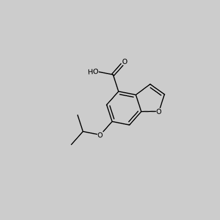 CC(C)Oc1cc(C(=O)O)c2ccoc2c1